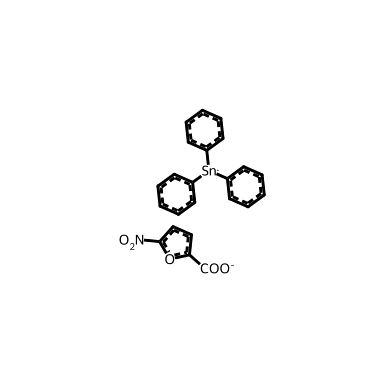 O=C([O-])c1ccc([N+](=O)[O-])o1.c1cc[c]([Sn]([c]2ccccc2)[c]2ccccc2)cc1